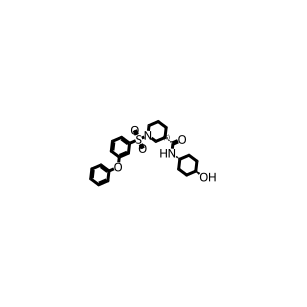 O=C(N[C@H]1CC[C@H](O)CC1)[C@H]1CCCN(S(=O)(=O)c2cccc(Oc3ccccc3)c2)C1